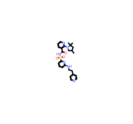 CC1CN(c2ncccc2C(=O)NS(=O)(=O)c2cccc(NCCc3ccncc3)n2)C(C)(C)C1